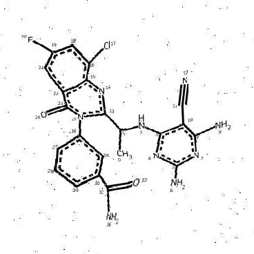 CC(Nc1nc(N)nc(N)c1C#N)c1nc2c(Cl)cc(F)cc2c(=O)n1-c1cccc(C(N)=O)c1